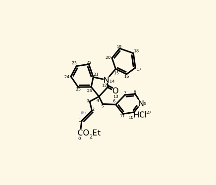 CCOC(=O)/C=C/CC1(Cc2ccncc2)C(=O)N(c2ccccc2)c2ccccc21.Cl